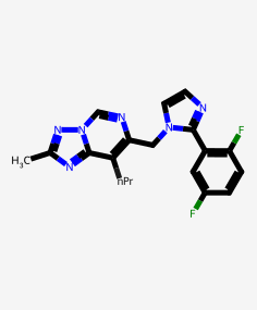 CCCc1c(Cn2ccnc2-c2cc(F)ccc2F)ncn2nc(C)nc12